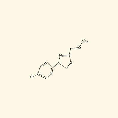 CCCCOCC1=NC(c2ccc(Cl)cc2)CO1